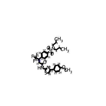 CCCN(CCC)S(=O)(=O)c1ccc(/C(=C\C(=O)Nc2nc(-c3ccc(OC)cc3)cs2)C(F)(F)F)cc1